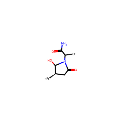 CCC[C@@H]1CC(=O)N(C(CC)C(N)=O)C1O